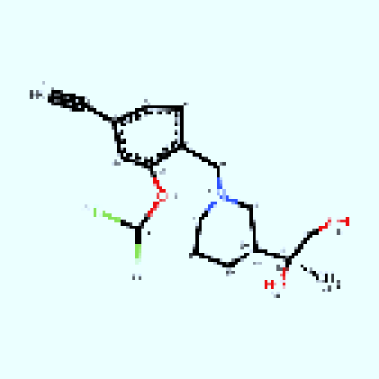 C#Cc1ccc(CN2CCC[C@H]([C@](C)(O)CO)C2)c(OC(F)F)c1